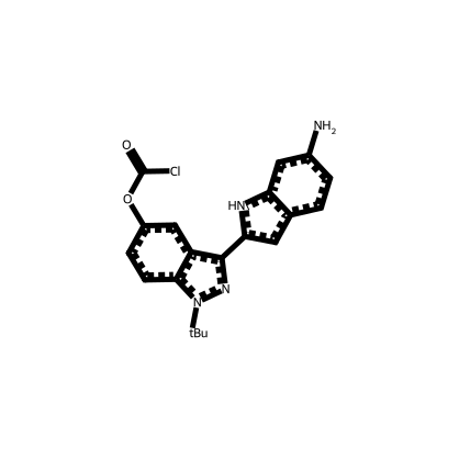 CC(C)(C)n1nc(-c2cc3ccc(N)cc3[nH]2)c2cc(OC(=O)Cl)ccc21